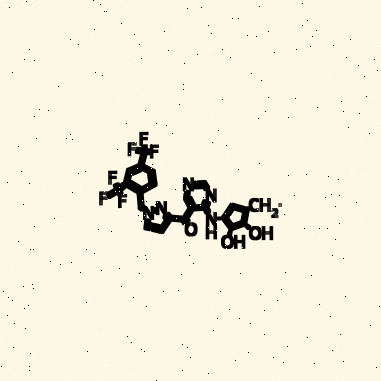 [CH2][C@@H]1C[C@@H](Nc2ncncc2C(=O)c2ccn(Cc3ccc(C(F)(F)F)cc3C(F)(F)F)n2)[C@H](O)[C@@H]1O